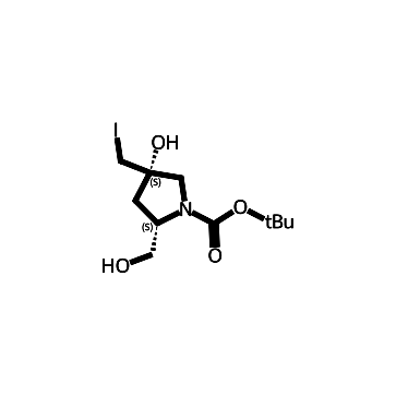 CC(C)(C)OC(=O)N1C[C@](O)(CI)C[C@H]1CO